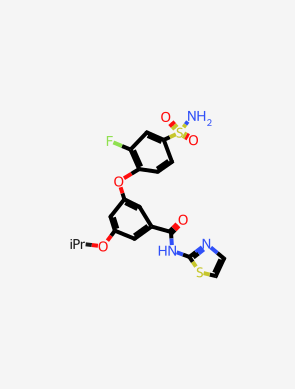 CC(C)Oc1cc(Oc2ccc(S(N)(=O)=O)cc2F)cc(C(=O)Nc2nccs2)c1